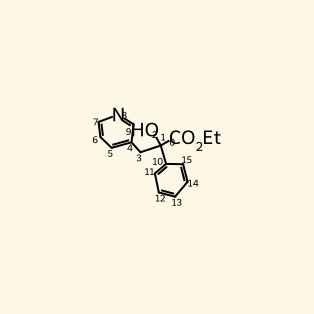 CCOC(=O)C(O)(Cc1cccnc1)c1ccccc1